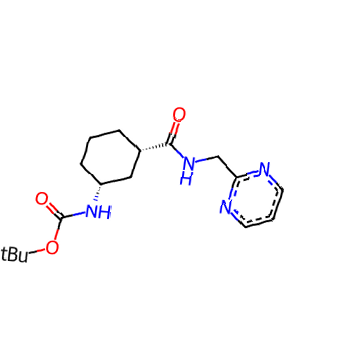 CC(C)(C)OC(=O)N[C@@H]1CCC[C@H](C(=O)NCc2ncccn2)C1